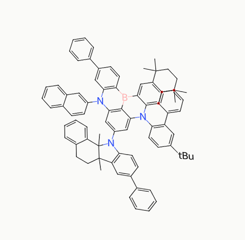 CC(C)(C)c1ccc(N2c3cc4c(cc3B3c5ccc(-c6ccccc6)cc5N(c5ccc6ccccc6c5)c5cc(N6c7ccc(-c8ccccc8)cc7C7(C)CCc8ccccc8C67C)cc2c53)C(C)(C)CCC4(C)C)c(-c2ccccc2)c1